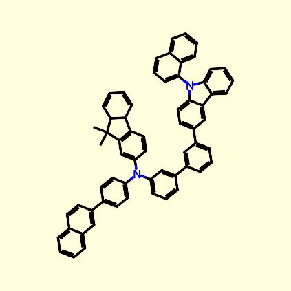 CC1(C)c2cc(N(c3ccc(-c4ccc5ccccc5c4)cc3)c3cccc(-c4cccc(-c5ccc6c(c5)c5ccccc5n6-c5cccc6ccccc56)c4)c3)ccc2C2C=CC=CC21